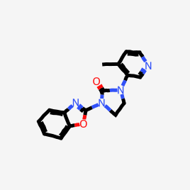 Cc1ccncc1N1CCN(c2nc3ccccc3o2)C1=O